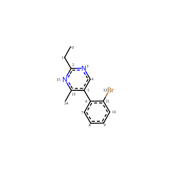 CCc1ncc(-c2ccccc2Br)c(C)n1